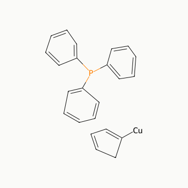 [Cu][C]1=CC=CC1.c1ccc(P(c2ccccc2)c2ccccc2)cc1